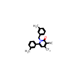 [C-]#[N+]c1c(C(F)(F)F)cc(-c2cccc(C)c2)n(Cc2cccc(C)c2)c1=O